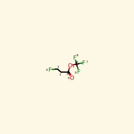 O=C(CCF)OC(F)(F)F